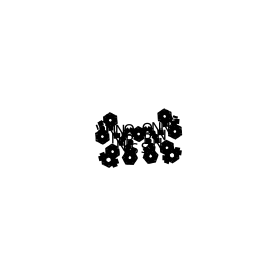 CC1(C)CCC(C)(C)c2cc(N3c4nc(N5c6ccccc6[Si](C)(C)c6ccccc65)nc5c4B(c4cc6c(cc4O5)Oc4nc(N5c7ccccc7[Si](C)(C)c7ccccc75)nc5c4B6c4sc6ccccc6c4N5c4ccc5c(c4)C(C)(C)CCC5(C)C)c4sc5ccccc5c43)ccc21